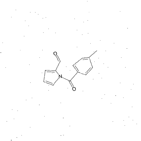 Cc1ccc(C(=O)n2cccc2C=O)cc1